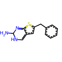 NC1N=c2sc(Cc3ccccc3)cc2=CN1